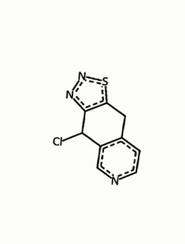 ClC1c2cnccc2Cc2snnc21